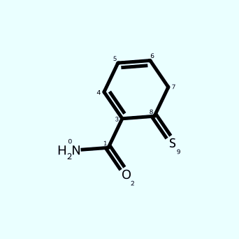 NC(=O)C1=CC=CCC1=S